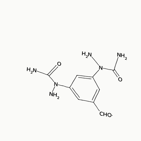 NC(=O)N(N)c1cc([C]=O)cc(N(N)C(N)=O)c1